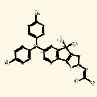 CC(C)(C)c1ccc(N(c2ccc(C(C)(C)C)cc2)c2ccc3c(c2)C(C)(C)C2=C3SC(C=C(C#N)C#N)C2)cc1